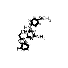 CCc1nc2c(F)cccc2n1-c1nc(N)nc(Nc2ccc(SC)cc2)n1